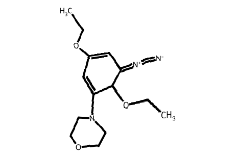 CCOC1=CC(=[N+]=[N-])C(OCC)C(N2CCOCC2)=C1